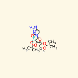 CC(C)C(=O)OC(C)[C@H]1O[C@@H](n2ccc(N)nc2=O)C(F)(F)[C@@H]1OC(=O)C(C)C